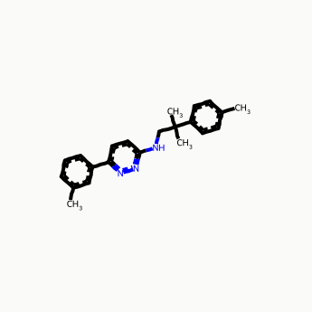 Cc1ccc(C(C)(C)CNc2ccc(-c3cccc(C)c3)nn2)cc1